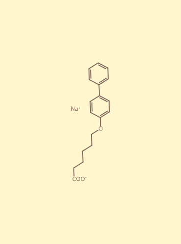 O=C([O-])CCCCCOc1ccc(-c2ccccc2)cc1.[Na+]